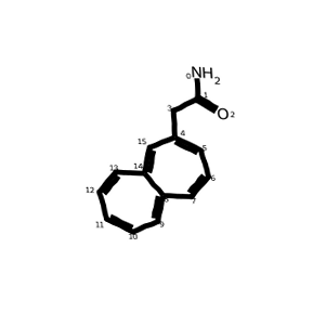 NC(=O)CC1=CC=CC2=CC=CC=CC2=C1